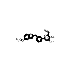 COc1ccc2sc(Cc3cccc(C4CC(O)[C@H](O)C(CO)O4)c3)cc2c1